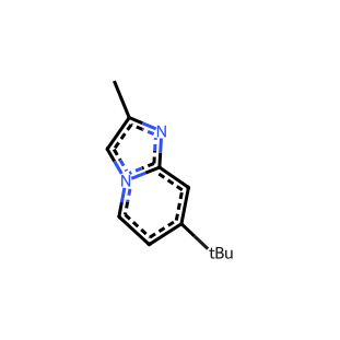 Cc1cn2ccc(C(C)(C)C)cc2n1